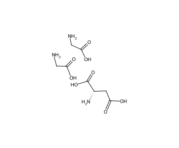 NCC(=O)O.NCC(=O)O.N[C@@H](CC(=O)O)C(=O)O